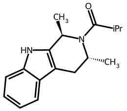 CC(C)C(=O)N1[C@H](C)Cc2c([nH]c3ccccc23)[C@H]1C